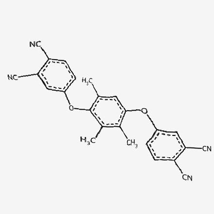 Cc1cc(Oc2ccc(C#N)c(C#N)c2)c(C)c(C)c1Oc1ccc(C#N)c(C#N)c1